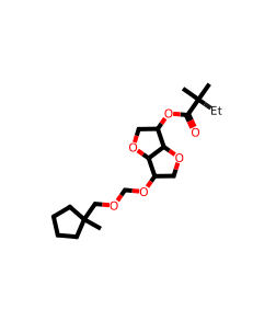 CCC(C)(C)C(=O)OC1COC2C(OCOCC3(C)CCCC3)COC12